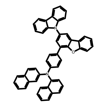 c1ccc2cc(N(c3ccc(-c4cc(-n5c6ccccc6c6ccccc65)cc5c4oc4ccccc45)cc3)c3cccc4ccccc34)ccc2c1